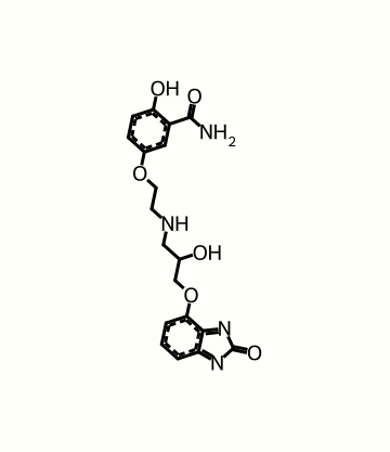 NC(=O)c1cc(OCCNCC(O)COc2cccc3c2=NC(=O)N=3)ccc1O